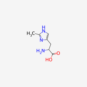 Cc1nc(CC(N)C(=O)O)c[nH]1